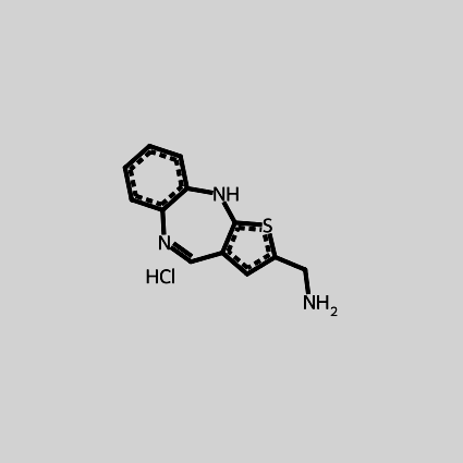 Cl.NCc1cc2c(s1)Nc1ccccc1N=C2